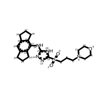 O=S(=O)(CCCN1CCOCC1)c1nnc(Nc2c3c(cc4c2CCC4)CCC3)[nH]1